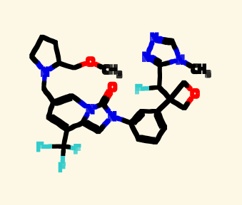 COCC1CCCN1Cc1cc(C(F)(F)F)c2cn(-c3cccc(C4(C(F)c5nncn5C)COC4)c3)c(=O)n2c1